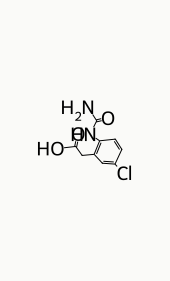 NC(=O)Nc1ccc(Cl)cc1CC(=O)O